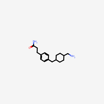 NCC1CCC(Cc2ccc(CCC(N)=O)cc2)CC1